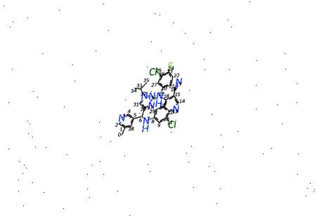 Cc1cncc(C(Nc2cc(Cl)c3ncc(C#N)c(Nc4ccc(F)c(Cl)c4)c3c2)c2cn(C(C)C)nn2)c1